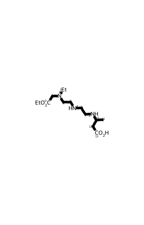 CCOC(=O)CN(CC)CCNCCNC(C)CC(=O)O